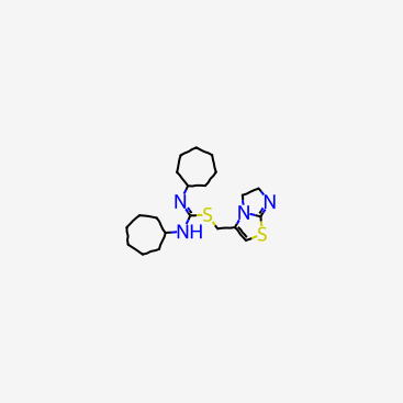 C1=C(CS/C(=N\C2CCCCCC2)NC2CCCCCC2)N2CCN=C2S1